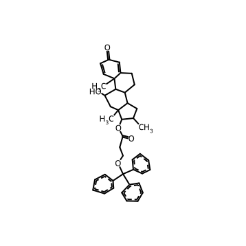 CC1CC2C3CCC4=CC(=O)C=CC4(C)C3C(O)CC2(C)C1OC(=O)CCOC(c1ccccc1)(c1ccccc1)c1ccccc1